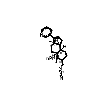 CCC[C@@]1(C)[C@H](CN=[N+]=[N-])CC[C@@H]2[C@@H]1CC[C@]1(C)C(c3cccnc3)=CC[C@@H]21